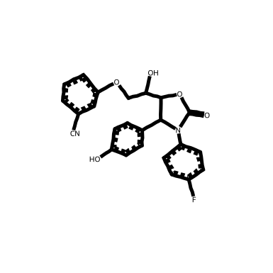 N#Cc1cccc(OCC(O)C2OC(=O)N(c3ccc(F)cc3)C2c2ccc(O)cc2)c1